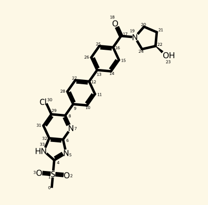 CS(=O)(=O)c1nc2nc(-c3ccc(-c4ccc(C(=O)N5CC[C@@H](O)C5)cc4)cc3)c(Cl)cc2[nH]1